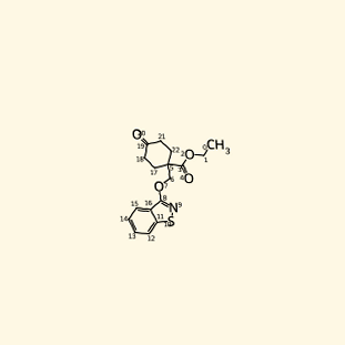 CCOC(=O)C1(COc2nsc3ccccc23)CCC(=O)CC1